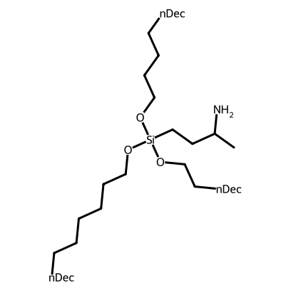 CCCCCCCCCCCCCCCCO[Si](CCC(C)N)(OCCCCCCCCCCCC)OCCCCCCCCCCCCCC